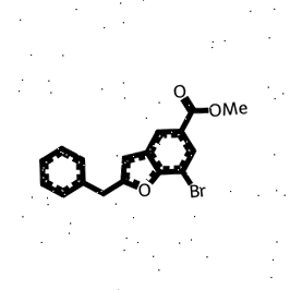 COC(=O)c1cc(Br)c2oc(Cc3ccccc3)cc2c1